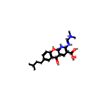 CC(C)CCc1ccc2oc3nc(/N=C/N(C)C)c(C(=O)O)cc3c(=O)c2c1